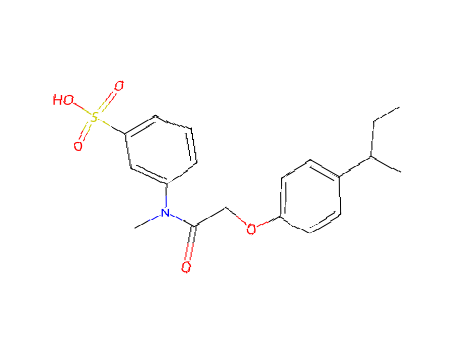 CCC(C)c1ccc(OCC(=O)N(C)c2cccc(S(=O)(=O)O)c2)cc1